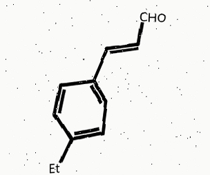 CCc1ccc(C=CC=O)cc1